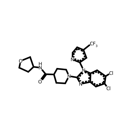 O=C(NC1CCOC1)C1CCN(c2nc3cc(Cl)c(Cl)cc3n2-c2cc(C(F)(F)F)ccn2)CC1